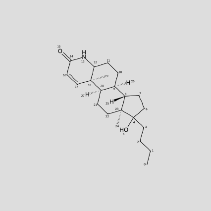 CCCCC1(O)CC[C@H]2[C@@H]3CCC4NC(=O)C=C[C@]4(C)[C@@H]3CC[C@@]21C